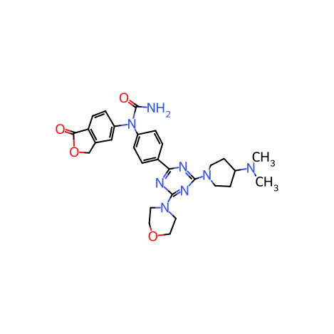 CN(C)C1CCN(c2nc(-c3ccc(N(C(N)=O)c4ccc5c(c4)COC5=O)cc3)nc(N3CCOCC3)n2)CC1